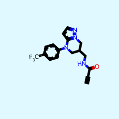 C#CC(=O)NCC1CN(c2ccc(C(F)(F)F)cc2)c2ccnn2C1